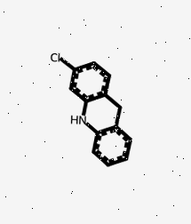 Clc1ccc2c(c1)Nc1ccccc1C2